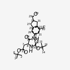 CC(C)(C)OC(=O)CC(NC(=O)OC(C)(C)C)C(=O)Nc1cc(F)c2c(c1)CC(C=O)C2